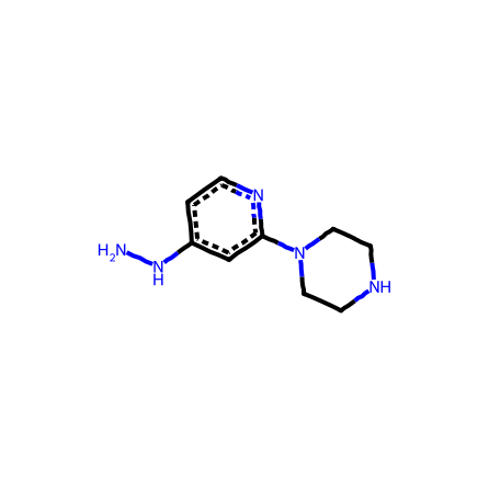 NNc1ccnc(N2CCNCC2)c1